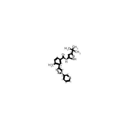 Cc1ccc(C(=O)Nc2cc(C(C)(C)C)n[nH]2)cc1-c1cn(-c2cccnc2)nn1